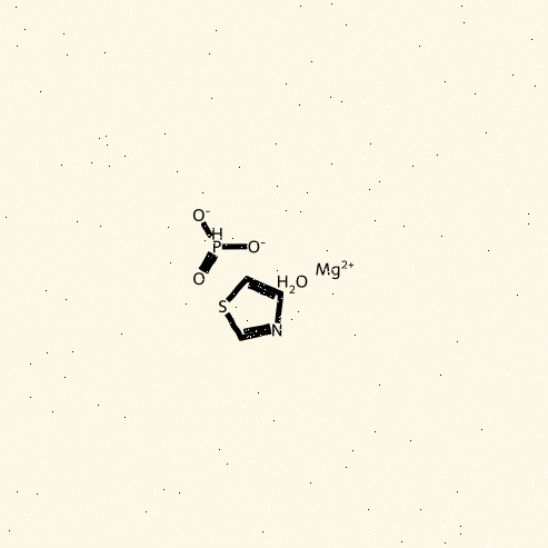 O.O=[PH]([O-])[O-].[Mg+2].c1cscn1